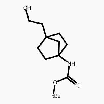 CC(C)(C)OC(=O)NC12CCC(CCO)(CC1)C2